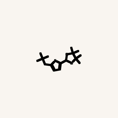 CC(C)(C)Cc1ccc(B2OC(C)(C)C(C)(C)O2)s1